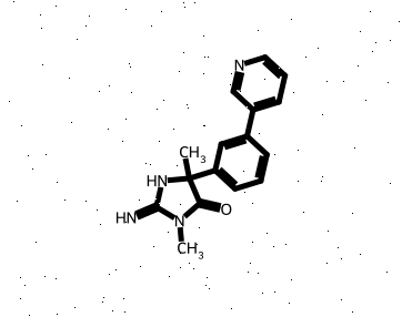 CN1C(=N)NC(C)(c2cccc(-c3cccnc3)c2)C1=O